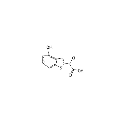 O=C(O)C(Cl)c1cc2c(O)cccc2s1